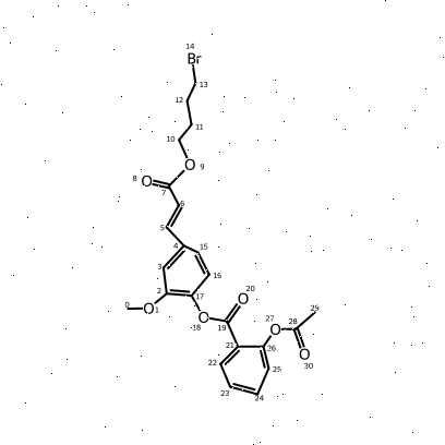 COc1cc(/C=C/C(=O)OCCCCBr)ccc1OC(=O)c1ccccc1OC(C)=O